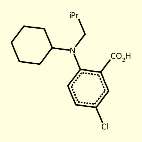 CC(C)CN(c1ccc(Cl)cc1C(=O)O)C1CCCCC1